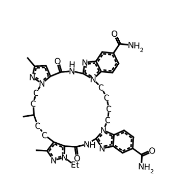 CCn1nc(C)c2c1C(=O)Nc1nc3cc(C(N)=O)ccc3n1CCCCn1c(nc3cc(C(N)=O)ccc31)NC(=O)c1cc(C)nn1CCC(C)CC2